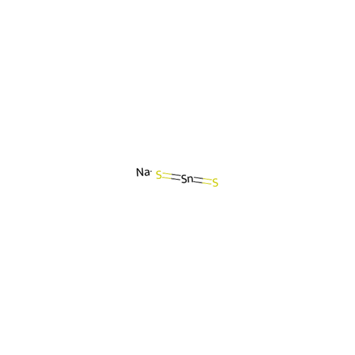 [Na].[S]=[Sn]=[S]